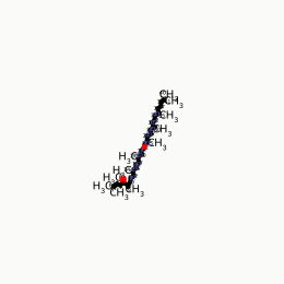 COC(CC=C(C)C)C(C)C/C=C/C(C)=C/C=C/C(C)=C/C=C/C=C(C)/C=C/C=C(C)/C=C/C=C(\C)CCC=C(C)C